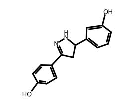 Oc1ccc(C2=NNC(c3cccc(O)c3)C2)cc1